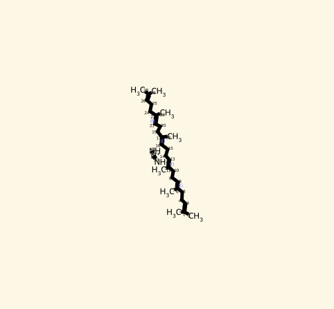 CC(C)=CCC/C(C)=C/CC/C(C)=C/CC/C=C(\C)CC/C=C(\C)CCC=C(C)C.N=[N+]=N